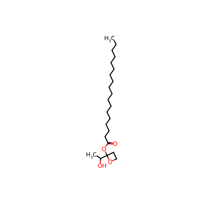 CCCCCCCCCCCCCCCCCC(=O)OC1(C(C)O)CCO1